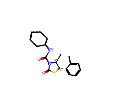 Cc1ccccc1[C@@H]1SC(=O)N(C(=O)NC2CCCCC2)[C@H]1C